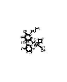 CCOCn1cc(NS(=O)(=O)C2(CCO)CCC2)c(Nc2ccc(I)cc2F)c(C)c1=O